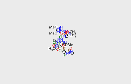 CC1COc2ccccc2N1C(=O)C(Cl)Cl.CCNc1nc(Cl)nc(NC(C)C)n1.COC(=O)CSc1cc(/N=c2\sc(=O)n3n2CCCC3)c(F)cc1Cl.COc1cc(OC)nc(NC(=O)NS(=O)(=O)c2ncccc2C(=O)N(C)C)n1